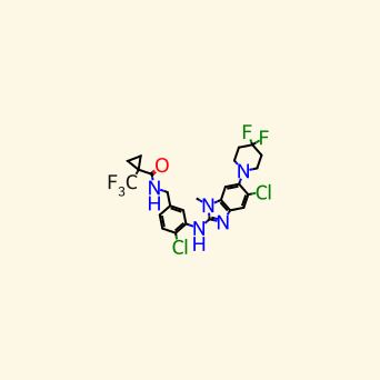 Cn1c(Nc2cc(CNC(=O)C3(C(F)(F)F)CC3)ccc2Cl)nc2cc(Cl)c(N3CCC(F)(F)CC3)cc21